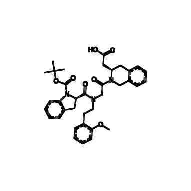 COc1ccccc1CCN(CC(=O)N1Cc2ccccc2C[C@@H]1CC(=O)O)C(=O)[C@H]1Cc2ccccc2N1C(=O)OC(C)(C)C